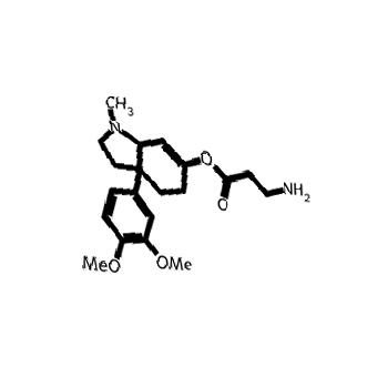 COc1ccc(C23CCC(OC(=O)CCN)=CC2N(C)CC3)cc1OC